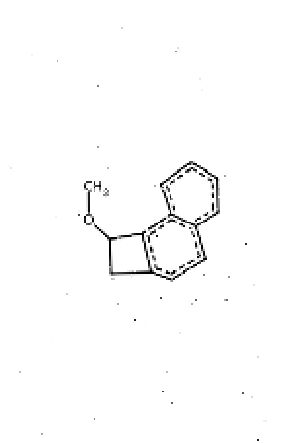 COC1Cc2ccc3ccccc3c21